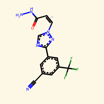 N#Cc1cc(-c2ncn(/C=C\C(=O)NN)n2)cc(C(F)(F)F)c1